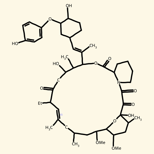 CCC1/C=C(\C)CC(C)CC(OC)C2OC(O)(C(=O)C(=O)N3CCCCC3C(=O)OC(C(C)=CC3CCC(O)C(Oc4ccc(O)cc4)C3)C(C)C(O)CC1=O)C(C)CC2OC